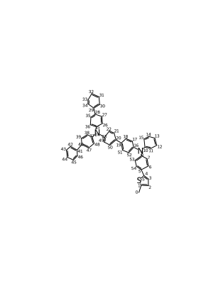 Cc1ccc(-c2ccc(N(c3ccccc3)c3ccc(-c4ccc(N(c5ccc(-c6ccccc6)cc5)c5ccc(-c6ccccc6)cc5)cc4)cc3)cc2)s1